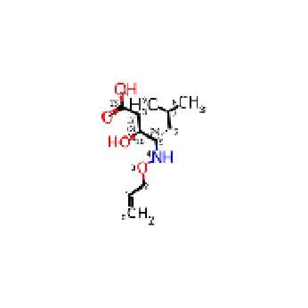 C=CCON[C@@H](CC(C)C)[C@@H](O)CC(=O)O